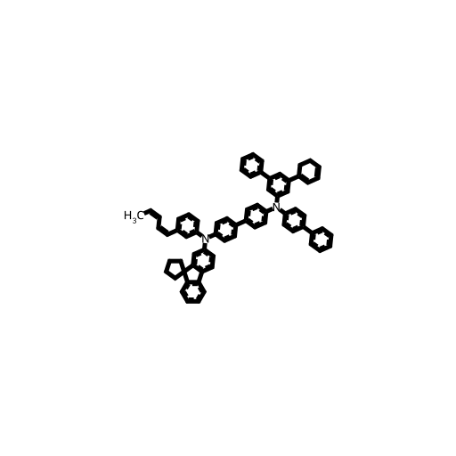 C/C=C\C=C/c1cccc(N(c2ccc(-c3ccc(N(c4ccc(-c5ccccc5)cc4)c4cc(C5=CC=CCC5)cc(-c5ccccc5)c4)cc3)cc2)c2ccc3c(c2)C2(CCCC2)c2ccccc2-3)c1